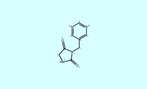 O=C1CNC(=O)N1Cc1cncnc1